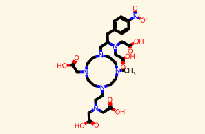 CN1CCN(CCN(CC(=O)O)CC(=O)O)CCN(CC(=O)O)CCN(CC(Cc2ccc([N+](=O)[O-])cc2)N(CC(=O)O)CC(=O)O)CC1